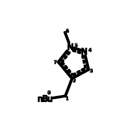 CCCCCc1cnn(C)c1